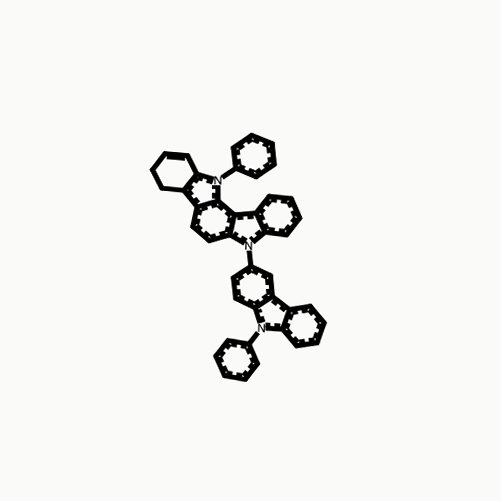 C1=Cc2c(c3ccc4c(c5ccccc5n4-c4ccc5c(c4)c4ccccc4n5-c4ccccc4)c3n2-c2ccccc2)CC1